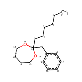 CCCCCCC1(Cc2ccccc2)OCCCCO1